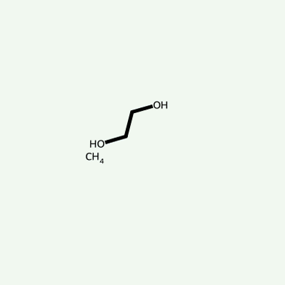 C.OCCO